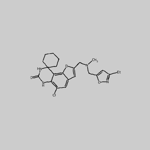 CCc1cc(CN(C)Cc2cc3cc(Cl)c4c(c3o2)C2(CCCCC2)NC(=O)N4)on1